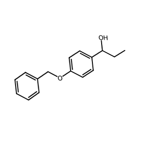 CCC(O)c1ccc(OCc2ccccc2)cc1